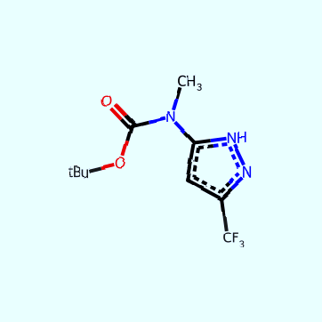 CN(C(=O)OC(C)(C)C)c1cc(C(F)(F)F)n[nH]1